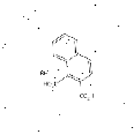 O=C(O)c1ccc2ccccc2c1C(=O)O.[KH]